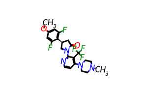 COc1cc(F)c([C@H]2CC(=O)N(c3nccc(N4CCN(C)CC4)c3C(F)(F)F)C2)c(F)c1